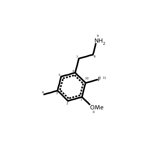 COc1cc(C)cc(CCN)c1F